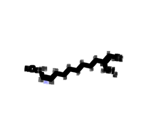 CCC=C(N)CCCCCCC/C=C\CCCCCCCC